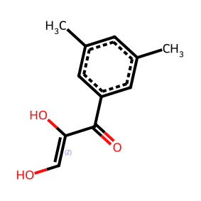 Cc1cc(C)cc(C(=O)/C(O)=C/O)c1